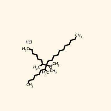 CCCCCCCCCCCC(C(C)CCCCCC)(C(C)CCCCCC)N(C)C.Cl